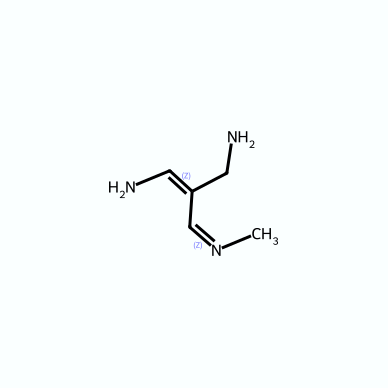 C/N=C\C(=C/N)CN